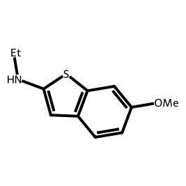 CCNc1cc2ccc(OC)cc2s1